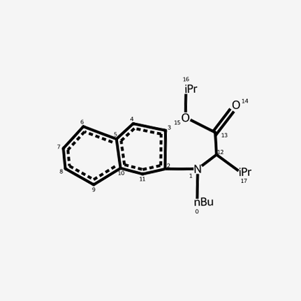 CCCCN(c1ccc2ccccc2c1)C(C(=O)OC(C)C)C(C)C